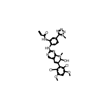 C=CC(=O)Nc1cc(-c2nnnn2C)ccc1Nc1ncc2c(n1)N(C)C(O)C(c1c(Cl)c(OC)cc(OC)c1Cl)=C2